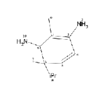 CC1=C(N)C=CC(C)(C(C)C)C1N